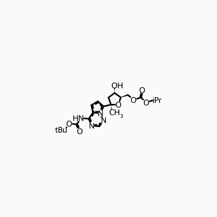 CC(C)OC(=O)OC[C@H]1O[C@@](C)(c2ccc3c(NC(=O)OC(C)(C)C)ncnn23)C[C@@H]1O